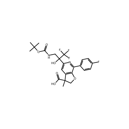 CC(C)(C)OC(=O)NCC(O)(c1cc2c(c(-c3ccc(F)cc3)n1)OCC2(C)C(=O)O)C(F)(F)F